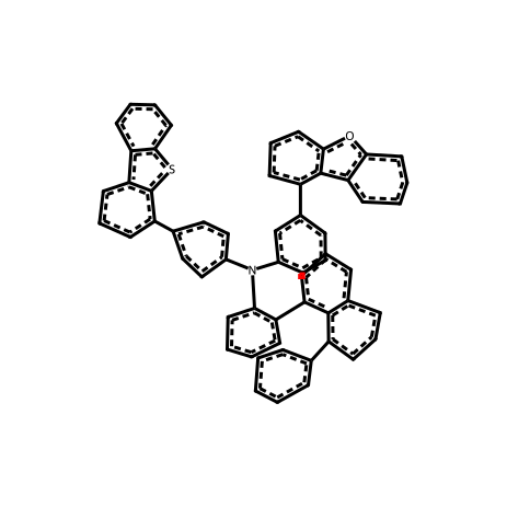 c1ccc(-c2cccc3cccc(-c4ccccc4N(c4ccc(-c5cccc6c5sc5ccccc56)cc4)c4cccc(-c5cccc6oc7ccccc7c56)c4)c23)cc1